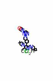 CC1(C)CCN(c2c(CC(=O)O)c(Cl)nc(CN3CCC4(CCC4)CC3)c2-c2ccc3c(c2)CCN(c2nccc(N4CCOCC4)n2)C3)CC1